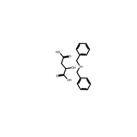 O=C(O)CC(O)C(=O)O.c1ccc([CH2][Sn][CH2]c2ccccc2)cc1